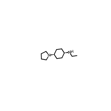 CCN[C@H]1CC[C@@H](N2CCCC2)CC1